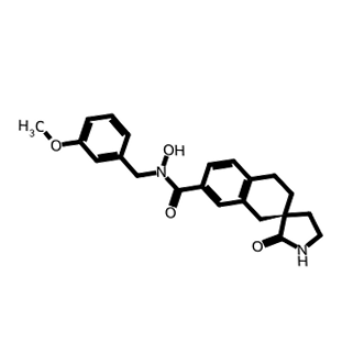 COc1cccc(CN(O)C(=O)c2ccc3c(c2)C[C@]2(CCNC2=O)CC3)c1